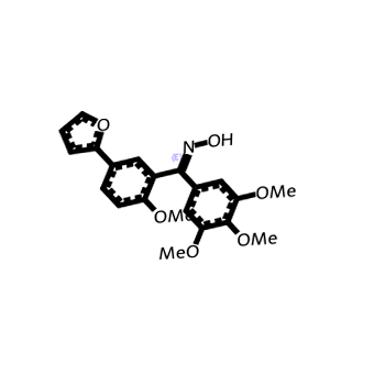 COc1ccc(-c2ccco2)cc1/C(=N/O)c1cc(OC)c(OC)c(OC)c1